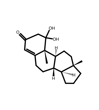 C[C@@]12CCC[C@H]1[C@@H]1CCC3=CC(=O)CC(O)(O)[C@]3(C)[C@H]1CC2